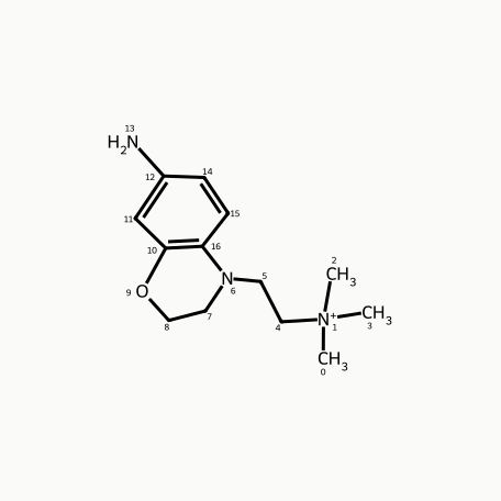 C[N+](C)(C)CCN1CCOc2cc(N)ccc21